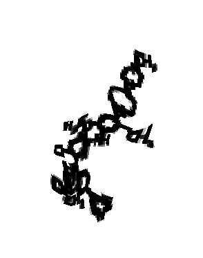 CCc1cc(Nc2ncc(Cl)c(Nc3ccc(-c4cncs4)cc3P(C)(C)=O)n2)c(OC)cc1N1CCC(N2CCN(C)CC2)CC1